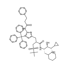 CC(C)(C)S(=O)(=O)CC(Cc1cn(C(c2ccccc2)(c2ccccc2)c2ccccc2)c(NC(=O)CCc2ccccc2)n1)C(=O)N[C@@H](CC1CCCCC1)[C@@H](O)[C@@H](O)C1CC1